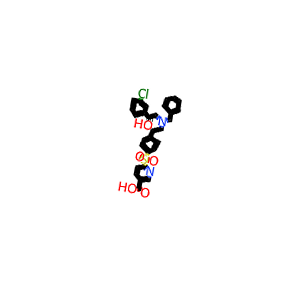 O=C(O)c1ccc(S(=O)(=O)c2ccc(CCN(Cc3ccccc3)C[C@H](O)c3cccc(Cl)c3)cc2)nc1